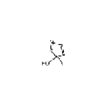 CC1(O)C=CN=C1